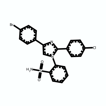 NS(=O)(=O)c1ccccc1-n1cc(-c2ccc(Br)cc2)nc1-c1ccc(Cl)cc1